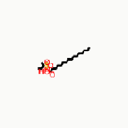 CCCCCCCCCCCCCCC(OS(=O)(=O)C(C)CC)C(=O)O